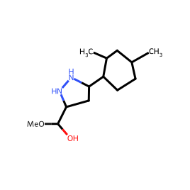 COC(O)C1CC(C2CCC(C)CC2C)NN1